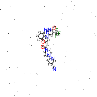 N#Cc1ccc(N2CCN(C(=O)C[C@H]3CN(c4cc(C(F)(F)F)c(=O)[nH]n4)c4ccccc4O3)CC2)nc1